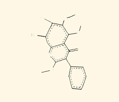 COc1oc2c(O)c(O)c(OC)c(OC)c2c(=O)c1-c1ccccc1